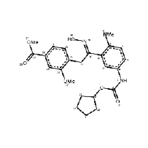 CNc1ccc(NC(=O)OC2CCCC2)cc1C(Cc1ccc(C(=O)OC)cc1OC)=NO